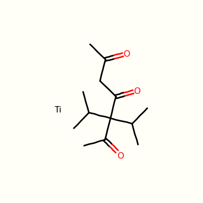 CC(=O)CC(=O)C(C(C)=O)(C(C)C)C(C)C.[Ti]